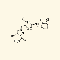 NC(=O)c1nn(CC(=O)N(CC(=O)NCc2cccc(Cl)c2F)C2CC2)cc1Br